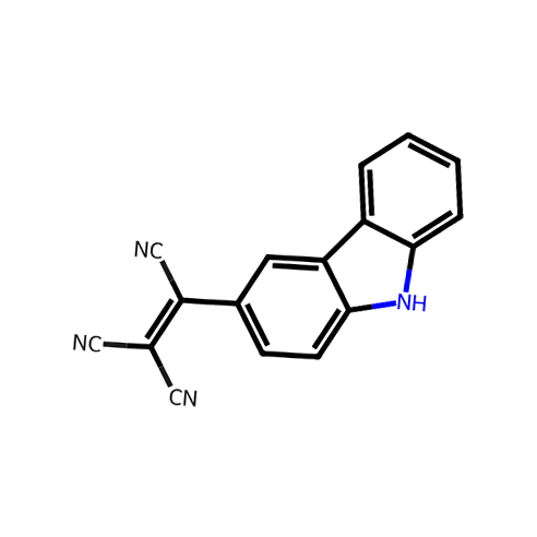 N#CC(C#N)=C(C#N)c1ccc2[nH]c3ccccc3c2c1